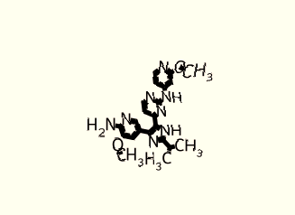 COc1cc(Nc2nccc(-c3[nH]c(C(C)C)nc3-c3cnc(N)c(OC)c3)n2)ccn1